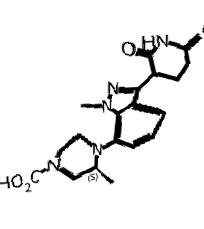 C[C@H]1CN(C(=O)O)CCN1c1cccc2c(C3CCC(=O)NC3=O)nn(C)c12